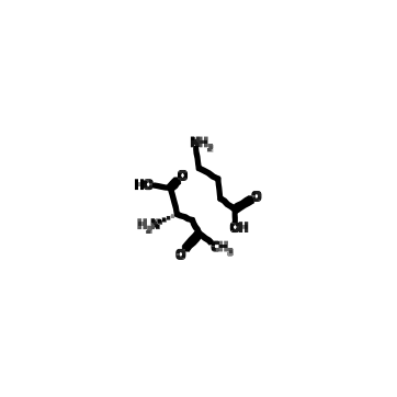 CC(=O)C[C@H](N)C(=O)O.NCCCC(=O)O